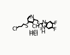 Cc1c(SCCCCl)ccnc1CSc1nc2cc(F)c(F)cc2[nH]1.Cl.Cl